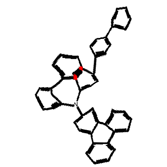 c1ccc(-c2ccc(-c3ccc(N(c4ccc5c6ccccc6c6ccccc6c5c4)c4ccccc4-c4ccccc4)cc3)cc2)cc1